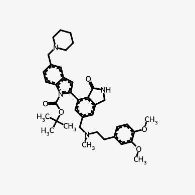 COc1ccc(CCN(C)Cc2cc3c(c(-c4cc5cc(CN6CCCCC6)ccc5n4C(=O)OC(C)(C)C)c2)C(=O)NC3)cc1OC